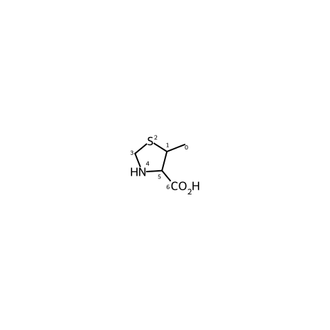 CC1SCNC1C(=O)O